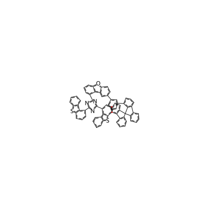 c1cc(-c2ccc3oc4cccc(-c5nc(-c6cccc7sc8ccccc8c67)nc(-c6cccc7sc8ccccc8c67)n5)c4c3c2)cc(-c2cccc3c2C2(c4ccccc4-c4ccccc42)c2ccccc2-3)c1